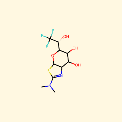 CN(C)C1=NC2C(OC([C@@H](O)C(F)(F)F)C(O)C2O)S1